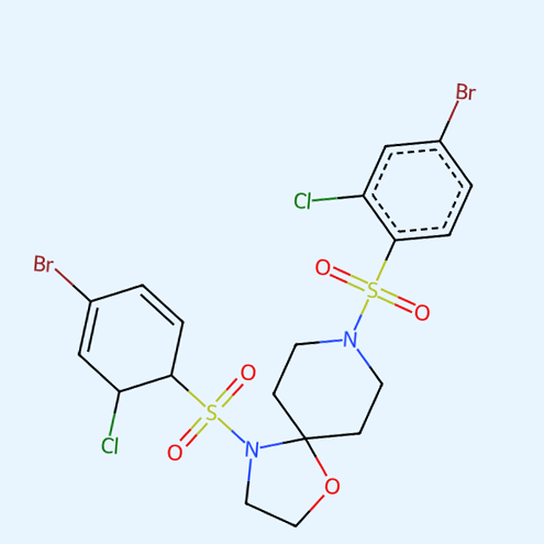 O=S(=O)(c1ccc(Br)cc1Cl)N1CCC2(CC1)OCCN2S(=O)(=O)C1C=CC(Br)=CC1Cl